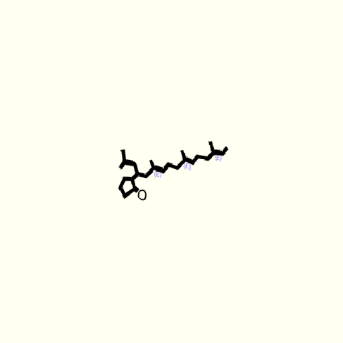 C/C=C(\C)CC/C=C(\C)CC/C=C(\C)CC(C=C(C)C)C1CCCC1=O